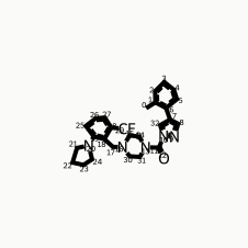 Cc1ccccc1-c1cnn(C(=O)N2CCN(Cc3c(N4CCCC4)cccc3C(F)(F)F)CC2)c1